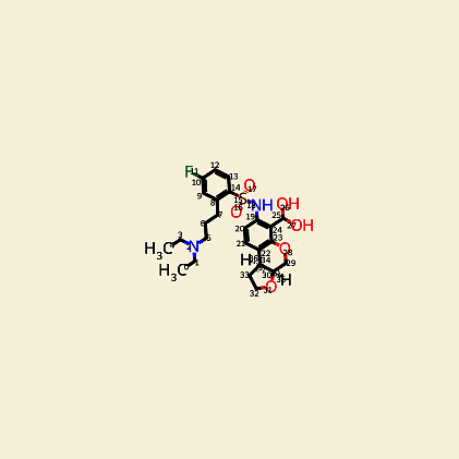 CCN(CC)CCCc1cc(F)ccc1S(=O)(=O)Nc1ccc2c(c1C(O)O)OC[C@H]1OCC[C@@H]21